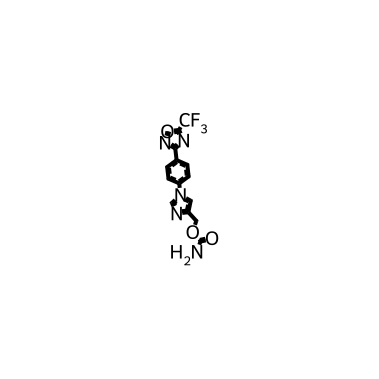 NC(=O)OCc1cn(-c2ccc(-c3noc(C(F)(F)F)n3)cc2)cn1